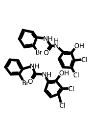 O=C(Nc1ccccc1Br)Nc1ccc(Cl)c(Cl)c1O.O=C(Nc1ccccc1Br)Nc1ccc(Cl)c(Cl)c1O